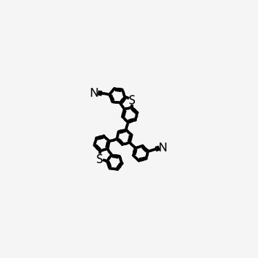 N#Cc1cccc(-c2cc(-c3ccc4sc5ccc(C#N)cc5c4c3)cc(-c3cccc4sc5ccccc5c34)c2)c1